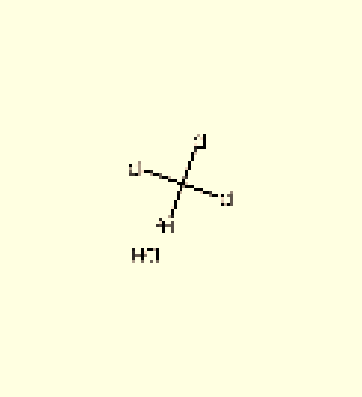 Cl.[2H]C(Cl)(Cl)Cl